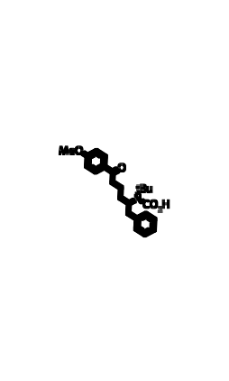 COc1ccc(C(=O)CCCC(Cc2ccccc2)N(C(=O)O)C(C)(C)C)cc1